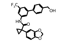 O=C(Nc1cc(-c2ccc(CO)cc2)cc(C(F)(F)F)c1)C1(c2ccc3c(c2)OCO3)CC1